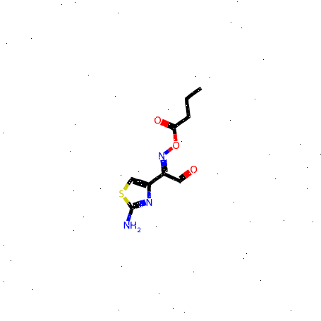 CCCC(=O)ON=C([C]=O)c1csc(N)n1